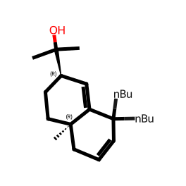 CCCCC1(CCCC)C=CC[C@@]2(C)CC[C@@H](C(C)(C)O)C=C12